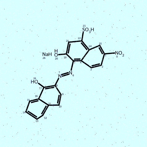 O=[N+]([O-])c1ccc2c(N=Nc3ccc4ccccc4c3O)c(O)cc(S(=O)(=O)O)c2c1.[NaH]